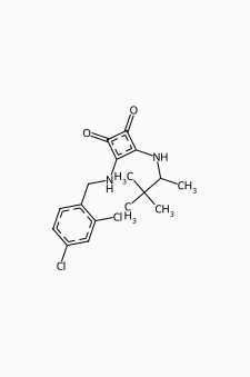 CC(Nc1c(NCc2ccc(Cl)cc2Cl)c(=O)c1=O)C(C)(C)C